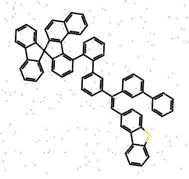 C(=C(/c1cccc(-c2ccccc2)c1)c1cccc(-c2ccccc2-c2cccc3c2-c2c(ccc4ccccc24)C32c3ccccc3-c3ccccc32)c1)/c1ccc2sc3ccccc3c2c1